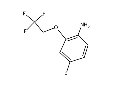 Nc1ccc(F)cc1OCC(F)(F)F